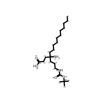 CCCCCCCCCCCC(N)(CCCNC(=O)OC(C)(C)C)CCC(=O)O